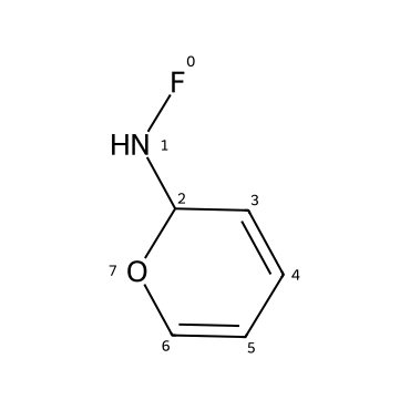 FNC1C=CC=CO1